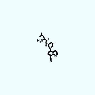 CC(C)C[C@H](N)C(=O)N[C@@H]1C[C@H](C)CN(c2ccc(C#N)c3ncccc23)C1